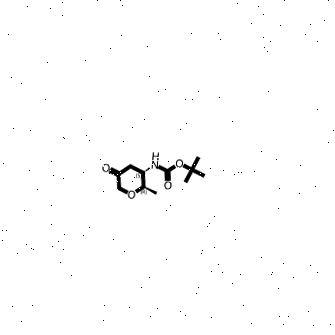 C[C@H]1OCC(=O)C[C@@H]1NC(=O)OC(C)(C)C